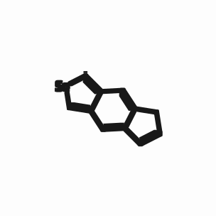 [c]1[se]cc2cc3c(cc12)CC=C3